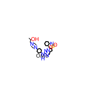 COc1cc(N2CCN(CC(C)O)CC2)ccc1Nc1ncc2ccc(-c3ccccc3N(C)S(C)(=O)=O)n2n1